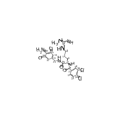 N=C(N)NCCC[C@@H](NC(=O)c1ccc(Cl)c(Cl)c1)C(=O)NCc1cc(Cl)c(N)c(Cl)c1